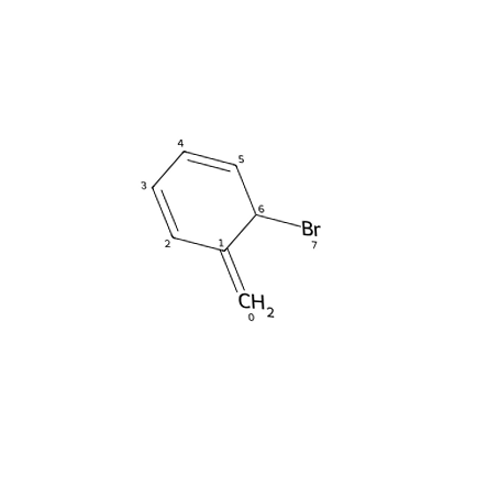 C=C1C=CC=CC1Br